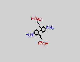 Nc1ccc(-c2ccc(N)cc2CCCC(=O)O)c(CCCC(=O)O)c1